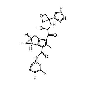 Cc1c(C(=O)C(O)NC2(c3c[nH]nn3)COC2)c2n(c1C(=O)Nc1ccc(F)c(F)c1)[C@@H]1[C@H](C)[C@@H]1C2